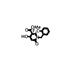 COC(=O)c1cn(Cc2ccccc2C(F)(F)F)c(=O)cc1O